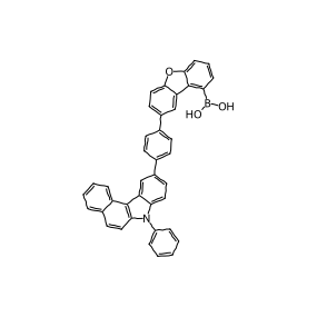 OB(O)c1cccc2oc3ccc(-c4ccc(-c5ccc6c(c5)c5c7ccccc7ccc5n6-c5ccccc5)cc4)cc3c12